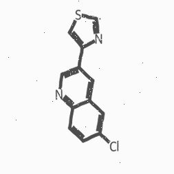 Clc1ccc2ncc(-c3cs[c]n3)cc2c1